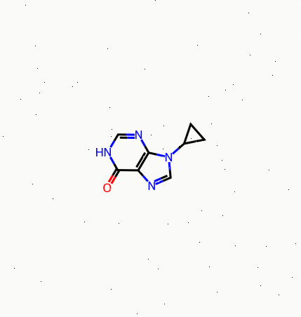 O=c1[nH]cnc2c1ncn2C1CC1